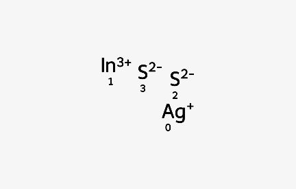 [Ag+].[In+3].[S-2].[S-2]